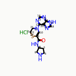 Cl.O=C(N[C@H]1CCNC1)C1=CN(c2ncnc3[nH]cnc23)CCS1